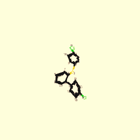 Clc1ccc(SC2C=CC=CC2c2ccc(Cl)cc2)cc1